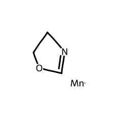 C1=NCCO1.[Mn]